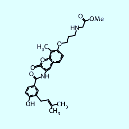 COC(=O)CNCCCOc1ccc2cc(NC(=O)c3ccc(O)c(CC=C(C)C)c3)c(=O)oc2c1C